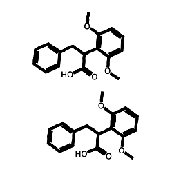 COc1cccc(OC)c1C(Cc1ccccc1)C(=O)O.COc1cccc(OC)c1C(Cc1ccccc1)C(=O)O